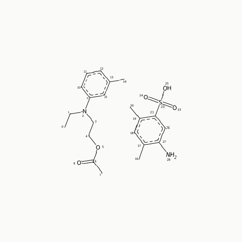 CCN(CCOC(C)=O)c1cccc(C)c1.Cc1cc(C)c(S(=O)(=O)O)cc1N